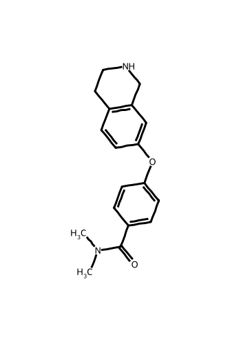 CN(C)C(=O)c1ccc(Oc2ccc3c(c2)CNCC3)cc1